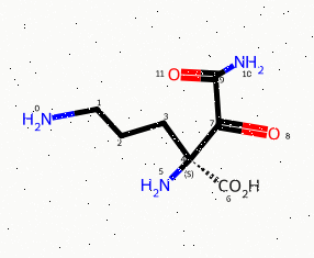 NCCC[C@@](N)(C(=O)O)C(=O)C(N)=O